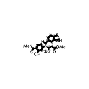 CNC(=O)c1cc2nc(-c3ccc4cn[nH]c4c3)n(C(CC(=O)OC)C(C)(C)C)c2cc1Cl